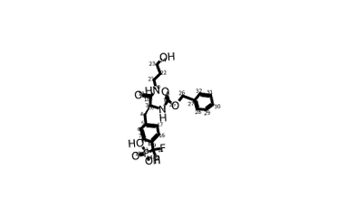 O=C(N[C@@H](Cc1ccc(C(F)(F)P(=O)(O)O)cc1)C(=O)NCCCO)OCc1ccccc1